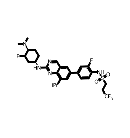 CC(C)c1cc(-c2ccc(NS(=O)(=O)CCC(F)(F)F)c(F)c2)cc2cnc(N[C@H]3CC[C@H](N(C)C)C(F)C3)nc12